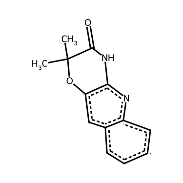 CC1(C)Oc2cc3cc[c]cc3nc2NC1=O